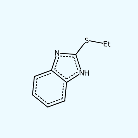 [CH2]CSc1nc2ccccc2[nH]1